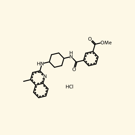 COC(=O)c1cccc(C(=O)NC2CCC(Nc3cc(C)c4ccccc4n3)CC2)c1.Cl